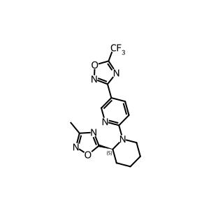 Cc1noc([C@@H]2CCCCN2c2ccc(-c3noc(C(F)(F)F)n3)cn2)n1